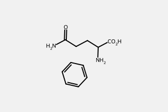 NC(=O)CCC(N)C(=O)O.c1ccccc1